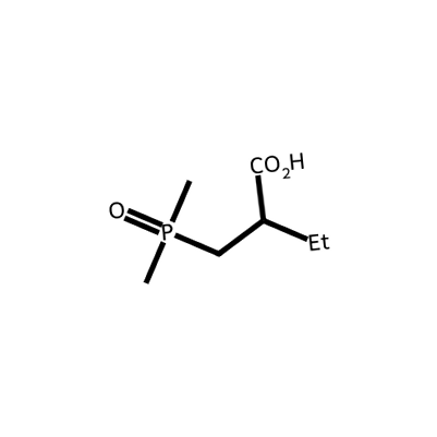 CCC(CP(C)(C)=O)C(=O)O